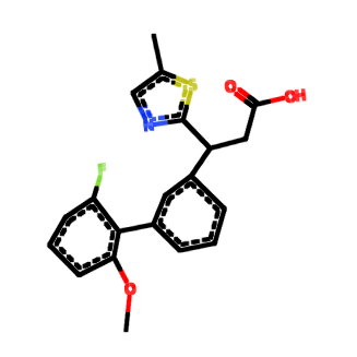 COc1cccc(F)c1-c1cccc(C(CC(=O)O)c2ncc(C)s2)c1